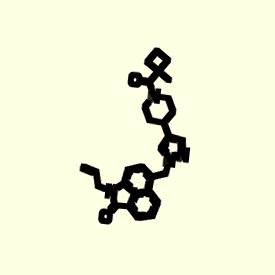 C=CCN1C(=O)c2cccc3c(Cn4cc(C5CCN(C(=O)C6(C)CCC6)CC5)cn4)ccc1c23